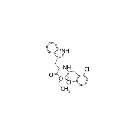 CCOC(=O)C(Cc1c[nH]c2ccccc12)NC(=O)Cc1c(Cl)cccc1Cl